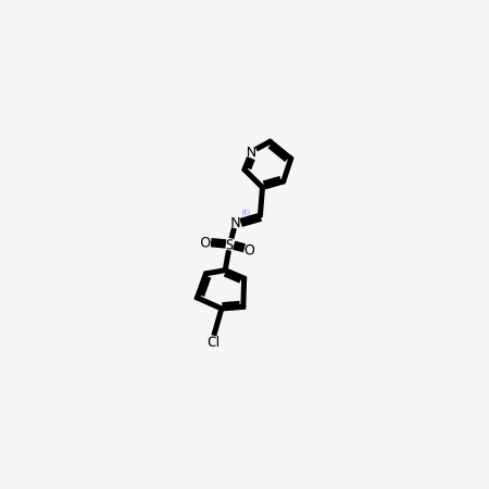 O=S(=O)(/N=C/c1cccnc1)c1ccc(Cl)cc1